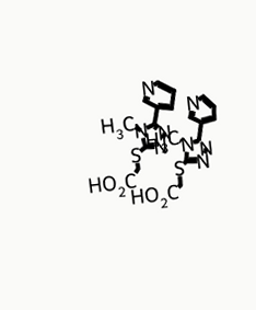 Cn1c(SCC(=O)O)nnc1-c1cccnc1.Cn1c(SCC(=O)O)nnc1-c1cccnc1